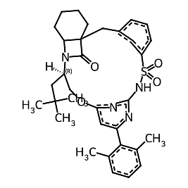 Cc1cccc(C)c1-c1cc2nc(n1)NS(=O)(=O)c1cccc(c1)CC13CCCCC1N(C3=O)[C@H](CC(C)(C)C)CO2